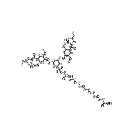 C/C=C1\C[C@H]2C=Nc3cc(OCc4cc(COc5cc6c(cc5OC)C(=O)N5C/C(=C/C)C[C@H]5C=N6)cc(C(C)(C)SCC(=O)NCCOCCOCCOCCOCCC(=O)O)c4)c(OC)cc3C(=O)N2C1